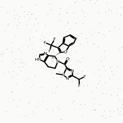 Cn1nc(C(F)F)nc1C(=O)N1CCc2[nH]cnc2[C@@H]1c1oc2ccccc2c1C(F)(F)F